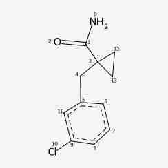 NC(=O)C1([CH]c2cccc(Cl)c2)CC1